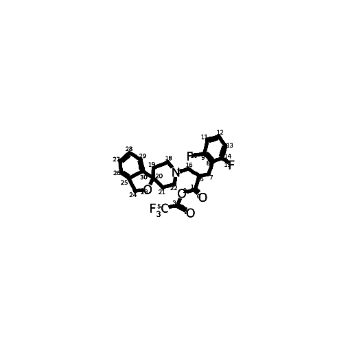 O=C(OC(=O)C(F)(F)F)C(Cc1c(F)cccc1F)CN1CCC2(CC1)OCc1ccccc12